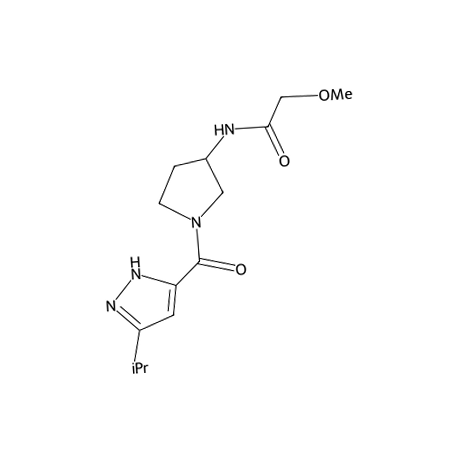 COCC(=O)NC1CCN(C(=O)c2cc(C(C)C)n[nH]2)C1